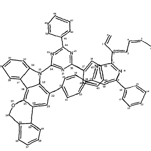 C=C/C(=C\C=C/C)c1nc(-c2ccccc2)cc(-c2ccc(-c3cc4c(c5c6ccccc6n(-c6nc(-c7ccccc7)nc(-c7ccccc7)n6)c35)OCc3ccccc3-4)cc2)n1